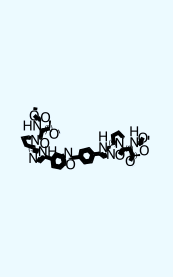 COC(=O)N[C@H](C(=O)N1CCC[C@H]1c1ncc(-c2ccc(-c3nc4cc(-c5cnc([C@@H]6CCCN6C(=O)[C@@H](NC(=O)OC)[C@@H](C)OC)[nH]5)ccc4o3)cc2)[nH]1)[C@@H](C)OC